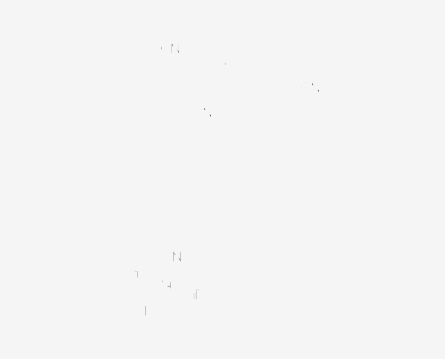 Cc1ccc(-n2c(=O)c(C#N)cc3ccc(-c4ccn([Si](C(C)C)(C(C)C)C(C)C)c4)cc32)cc1C#N